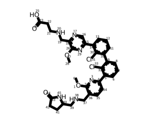 COc1nc(-c2cccc(-c3cccc(-c4cnc(CNCCC(=O)O)c(OC)n4)c3Cl)c2Cl)ccc1CNCC1CCC(=O)N1